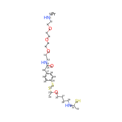 CC(C)NCCOCCOCCOCCNC(=O)Cc1ccc(SSC(C)OCCCCNC(C)S)cc1